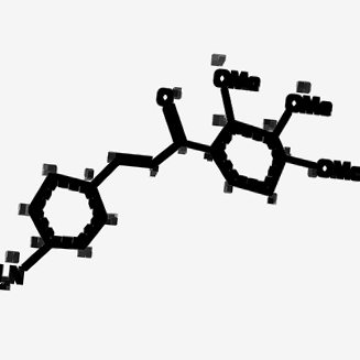 COc1ccc(C(=O)/C=C/c2ccc(N)cc2)c(OC)c1OC